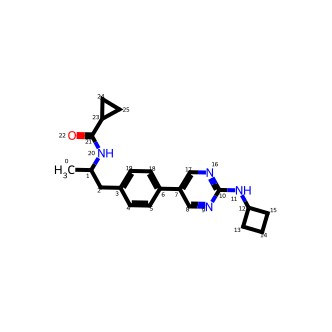 CC(Cc1ccc(-c2cnc(NC3CCC3)nc2)cc1)NC(=O)C1CC1